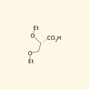 CCOC[C@H](OCC)C(=O)O